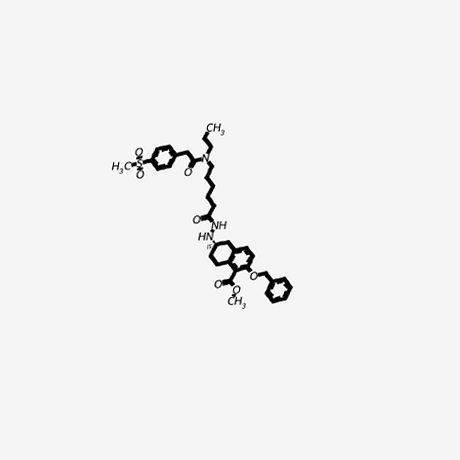 CCCN(CCCCCC(=O)NN[C@H]1CCc2c(ccc(OCc3ccccc3)c2C(=O)OC)C1)C(=O)Cc1ccc(S(C)(=O)=O)cc1